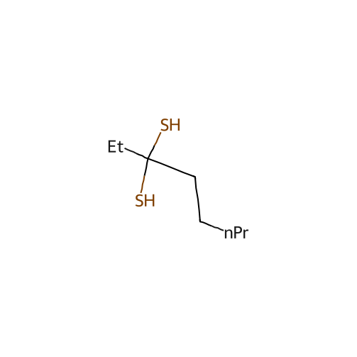 CCCCCC(S)(S)CC